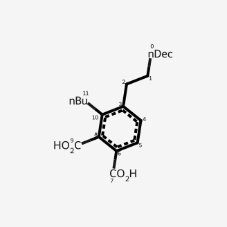 CCCCCCCCCCCCc1ccc(C(=O)O)c(C(=O)O)c1CCCC